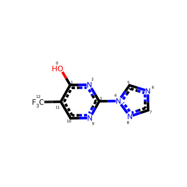 Oc1nc(-n2cncn2)ncc1C(F)(F)F